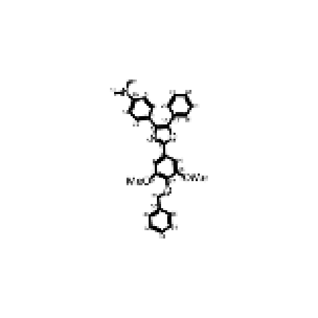 COc1cc(-c2nc(-c3ccc(N(C)C)cc3)c(-c3ccccc3)o2)cc(OC)c1OCc1ccccc1